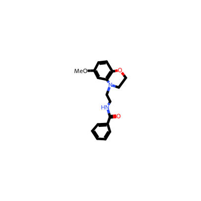 COc1ccc2c(c1)N(CCNC(=O)c1ccccc1)CCO2